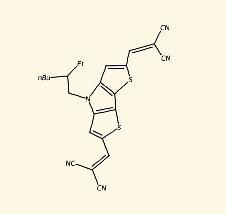 CCCCC(CC)Cn1c2cc(C=C(C#N)C#N)sc2c2sc(C=C(C#N)C#N)cc21